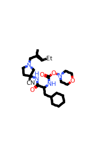 CCC=C(C)CN1CCC(C#N)(NC(=O)C(CC2CCCCC2)NC(=O)ON2CCOCC2)C1